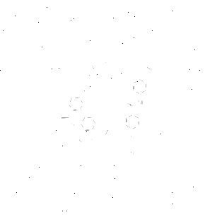 C=C(Nc1ccc(OC(C)=O)cc1)c1ccc(N2CCN(C(=O)OC(C)(C)C)CC2)cc1.CC(=O)Oc1ccc(NC(=O)c2ccc(N3CCNCC3)cc2)cc1.O=C(O)C(F)(F)F